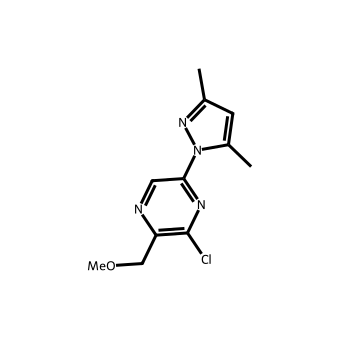 COCc1ncc(-n2nc(C)cc2C)nc1Cl